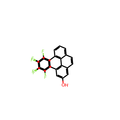 Oc1cc(-c2cc(F)c(F)c(F)c2)c2c(ccc3cccc(-c4cc(F)c(F)c(F)c4)c32)c1